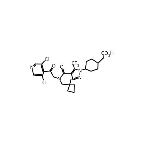 CC1(CN(CC(=O)c2c(Cl)cncc2Cl)C(=O)c2cnn(C3CCC(CC(=O)O)CC3)c2C(F)(F)F)CCC1